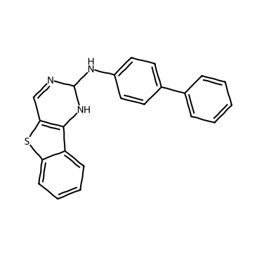 C1=NC(Nc2ccc(-c3ccccc3)cc2)Nc2c1sc1ccccc21